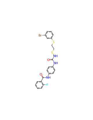 O=C(NSCCSc1cccc(Br)c1)Nc1ccc(NC(=O)c2ccccc2F)cc1